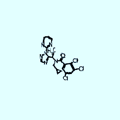 CC(c1ncnn1-c1ncccn1)N(CC1CC1)C(=O)c1cc(Cl)cc(Cl)c1Cl